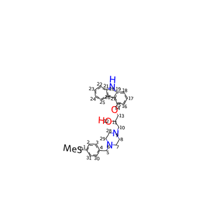 CSc1ccc(CN2CCN(CC(O)COc3cccc4[nH]c5ccccc5c34)CC2)cc1